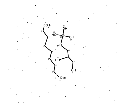 CCCCCCCCCCCCCCCCCC(=O)O.OCC(O)CO[Si](O)(O)O